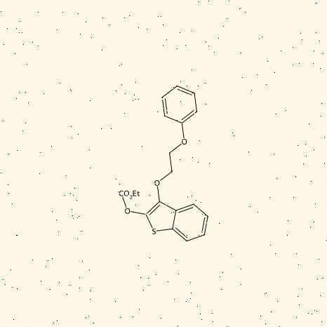 CCOC(=O)Oc1sc2ccccc2c1OCCOc1ccccc1